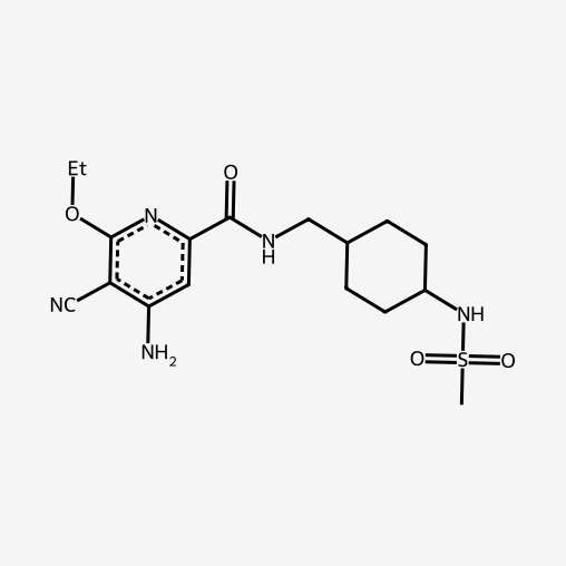 CCOc1nc(C(=O)NCC2CCC(NS(C)(=O)=O)CC2)cc(N)c1C#N